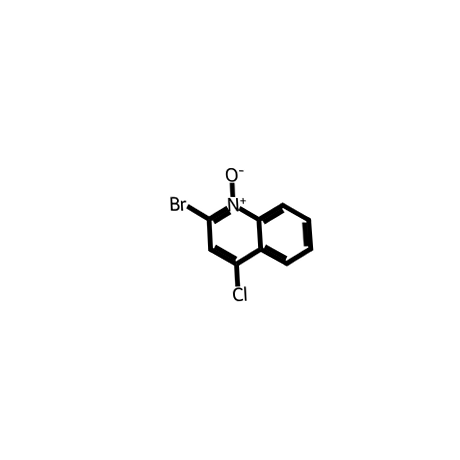 [O-][n+]1c(Br)cc(Cl)c2ccccc21